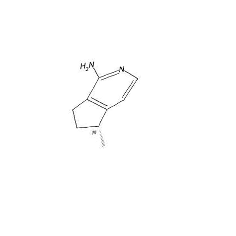 C[C@@H]1CCc2c1ccnc2N